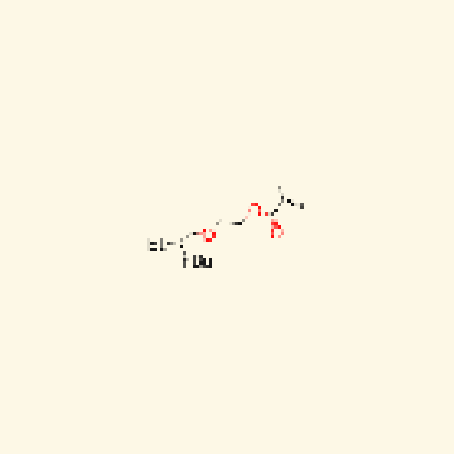 C=C(C)C(=O)OCCOCC(CC)CCCC